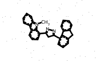 Cn1c2ccccc2c2cccc(C3=NN=C(c4cccc5c4-c4ccccc4C5)C3)c21